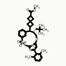 COC(=O)C1CC2(C1)CC(C1c3cccc(c3)S(=O)(=O)Nc3nc(cc(-c4c(C)cccc4C)n3)OC[C@H]1CC(C)(C)C)C2